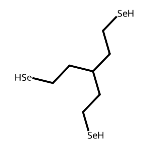 [SeH]CCC(CC[SeH])CC[SeH]